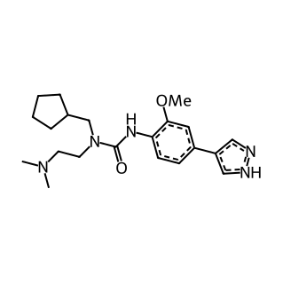 COc1cc(-c2cn[nH]c2)ccc1NC(=O)N(CCN(C)C)CC1CCCC1